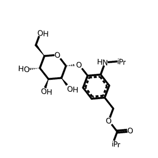 CC(C)Nc1cc(COC(=O)C(C)C)ccc1O[C@H]1O[C@H](CO)[C@@H](O)[C@H](O)[C@@H]1O